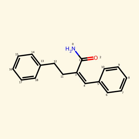 NC(=O)C(=Cc1ccccc1)CCc1ccccc1